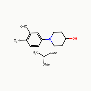 COC(C)OC.O=Cc1cc(N2CCC(O)CC2)ccc1[N+](=O)[O-]